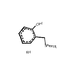 CCCCCCc1ccccc1O.[KH]